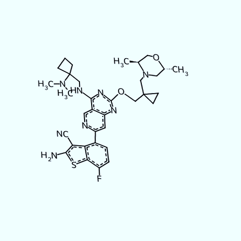 C[C@@H]1CN(CC2(COc3nc(NCC4(N(C)C)CCC4)c4cnc(-c5ccc(F)c6sc(N)c(C#N)c56)cc4n3)CC2)[C@@H](C)CO1